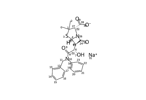 CC1(C)S[C@@H]2[C@H]([C@H](O)C(=O)N(Cc3ccccc3)c3ccccc3)C(=O)N2[C@H]1C(=O)[O-].[Na+]